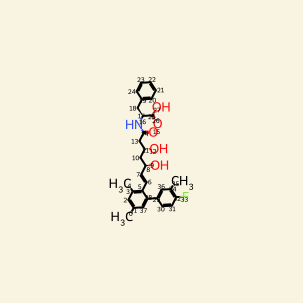 Cc1cc(C)c(C=C[C@H](O)C[C@@H](O)CC(=O)N[C@@H](Cc2ccccc2)C(=O)O)c(-c2ccc(F)c(C)c2)c1